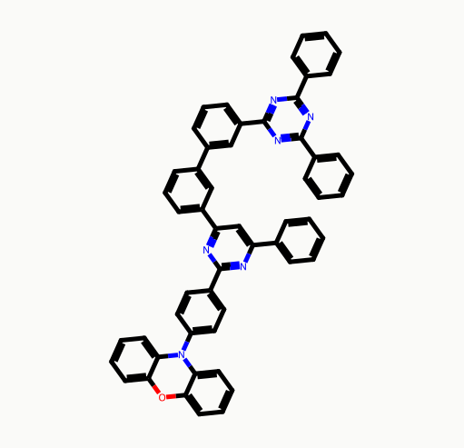 c1ccc(-c2cc(-c3cccc(-c4cccc(-c5nc(-c6ccccc6)nc(-c6ccccc6)n5)c4)c3)nc(-c3ccc(N4c5ccccc5Oc5ccccc54)cc3)n2)cc1